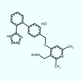 CC(=O)NCc1c(OCc2ccc(-c3ccccc3-c3nnn[nH]3)cc2)cc(C)nc1C.Cl